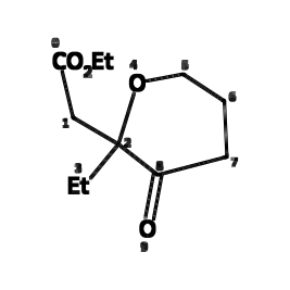 CCOC(=O)CC1(CC)OCCCC1=O